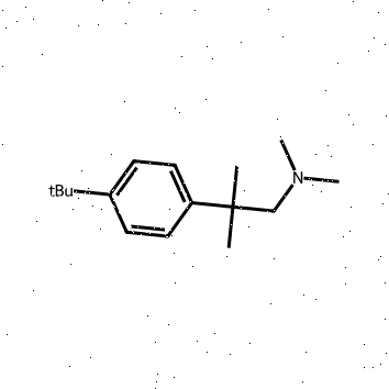 CN(C)CC(C)(C)c1ccc(C(C)(C)C)cc1